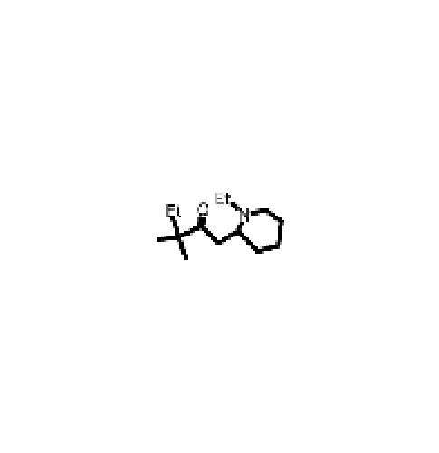 CCN1CCCCC1CC(=O)C(C)(C)CC